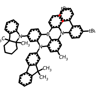 Cc1cc2c3c(c1)N(c1ccc(C(C)(C)C)cc1-c1ccccc1)c1cc(C(C)(C)C)ccc1B3c1ccc(N3c4ccccc4C4(C)CCCCC34C)cc1N2c1ccc2c(c1)C(C)(C)c1ccccc1-2